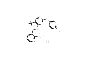 CN(c1ncccc1CNc1nc(Nc2ccc(S(C)(=O)=O)nc2)ncc1C(F)(F)F)S(C)(=O)=O